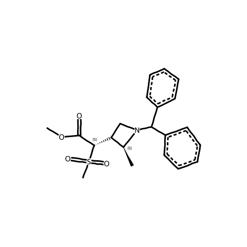 COC(=O)[C@H](C1CN(C(c2ccccc2)c2ccccc2)[C@H]1C)S(C)(=O)=O